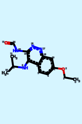 CCOc1ccc2c(NC(C)C)c(NC=O)nnc2c1